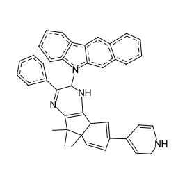 CC1(C)C2=C(NC(n3c4ccccc4c4cc5ccccc5cc43)C(c3ccccc3)=N2)C2C=C(C3=CCNC=C3)C=CC21C